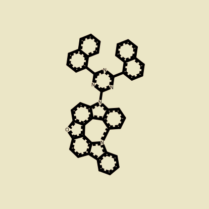 c1ccc2c(-c3nc(-c4cccc5ccccc45)nc(-n4c5ccc6oc7ccc8c9ccccc9n9c%10cccc4c%10c5c6c7c89)n3)cccc2c1